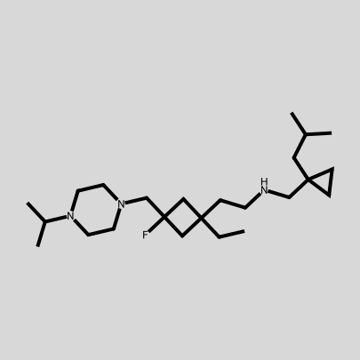 CCC1(CCNCC2(CC(C)C)CC2)CC(F)(CN2CCN(C(C)C)CC2)C1